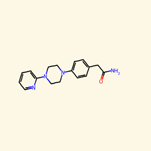 NC(=O)Cc1ccc(N2CCN(c3ccccn3)CC2)cc1